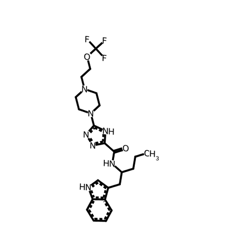 CCCC(Cc1c[nH]c2ccccc12)NC(=O)c1nnc(N2CCN(CCOC(F)(F)F)CC2)[nH]1